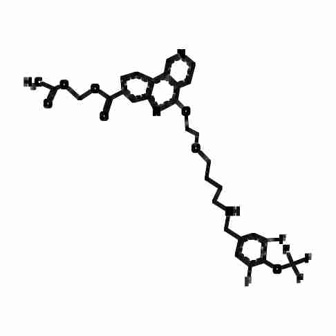 CC(=O)OCOC(=O)c1ccc2c(c1)nc(OCCOCCCCNCc1cc(F)c(OC(F)(F)F)c(F)c1)c1ccncc12